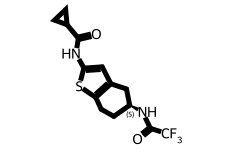 O=C(Nc1cc2c(s1)CC[C@H](NC(=O)C(F)(F)F)C2)C1CC1